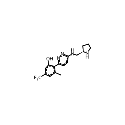 Cc1cc(C(F)(F)F)cc(O)c1-c1ccc(NC[C@H]2CCCN2)nn1